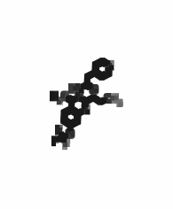 C=C1c2ccc(OC(F)(F)F)cc2N=C(CCC)N1NC(=O)Cc1ccncc1